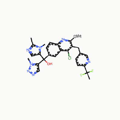 COc1nc2ccc(C(O)(c3cnnn3C)c3cnc(C)n3C)cc2c(Cl)c1Cc1ccc(C(C)(F)F)nc1